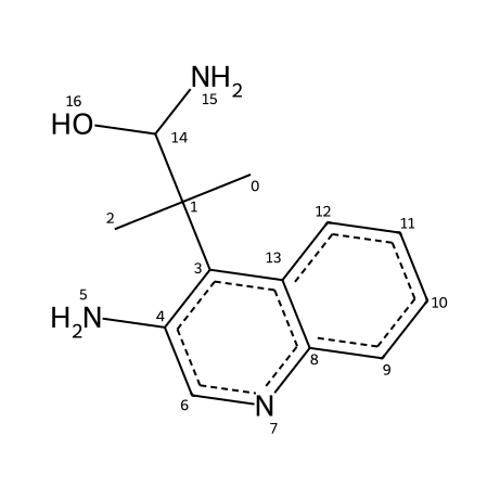 CC(C)(c1c(N)cnc2ccccc12)C(N)O